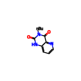 CCCCn1c(=O)[nH]c2cccnc2c1=O